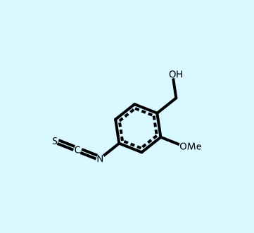 COc1cc(N=C=S)ccc1CO